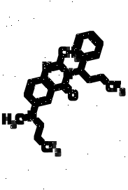 Cc1nc2ccc(N(C)CCC(F)(F)F)cc2c(=O)n1C(CCC(F)(F)F)c1ccccc1